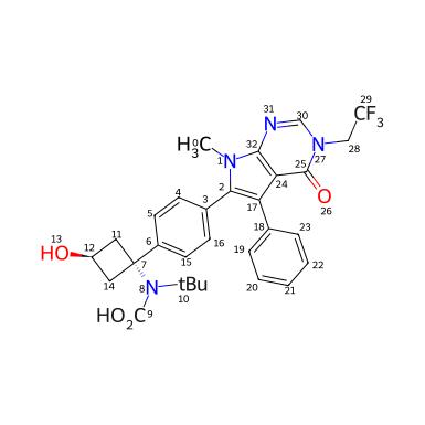 Cn1c(-c2ccc([C@]3(N(C(=O)O)C(C)(C)C)C[C@H](O)C3)cc2)c(-c2ccccc2)c2c(=O)n(CC(F)(F)F)cnc21